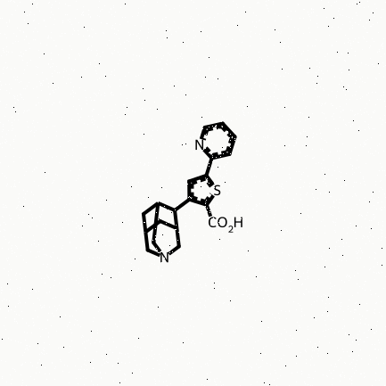 O=C(O)c1sc(-c2ccccn2)cc1C1C2CC3CC1CN(C3)C2